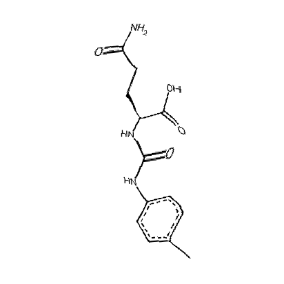 Cc1ccc(NC(=O)N[C@@H](CCC(N)=O)C(=O)O)cc1